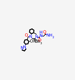 COc1cc(-n2cccn2)ccc1C(=O)N1C[C@@H](C)N(C(=O)NCC(N)=O)Cc2ccccc21